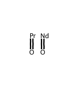 [O]=[Nd].[O]=[Pr]